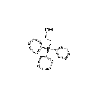 OCC[P](c1ccccc1)(c1ccccc1)c1ccccc1